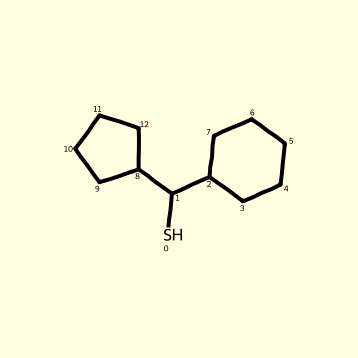 SC(C1CCCCC1)C1CCCC1